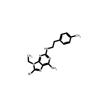 CCn1c(Br)nc2c(N)nc(NCCc3ccc(C)cc3)nc21